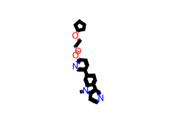 Cn1c2ccncc2c2ccc(-c3ccc(OOCCOC4CCCC4)nc3)cc21